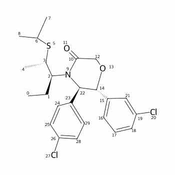 CC[C@@H]([C@H](C)SC(C)C)N1C(=O)CO[C@H](c2cccc(Cl)c2)[C@H]1c1ccc(Cl)cc1